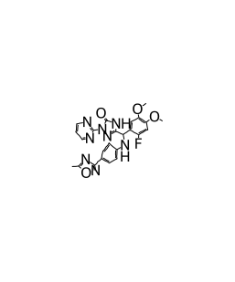 COc1cc(F)c(C(Nc2ccc(-c3noc(C)n3)cc2)c2nn(-c3ncccn3)c(=O)[nH]2)cc1OC